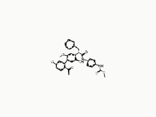 COC(=O)Nc1ccc(NC(=O)[C@H](Cc2ccccc2)n2cc(OC)c(-c3cc(Cl)ccc3C(C)=O)cc2=O)cc1